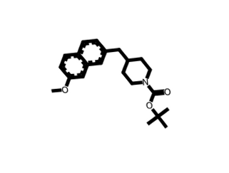 COc1ccc2ccc(CC3CCN(C(=O)OC(C)(C)C)CC3)cc2c1